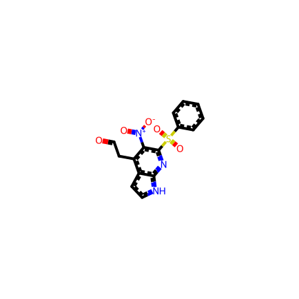 O=CCc1c([N+](=O)[O-])c(S(=O)(=O)c2ccccc2)nc2[nH]ccc12